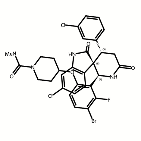 CNC(=O)N1CCC(Oc2ccc(Br)c(F)c2[C@@H]2NC(=O)C[C@@H](c3cccc(Cl)c3)[C@]23C(=O)Nc2cc(Cl)ccc23)CC1